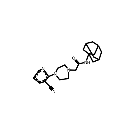 N#Cc1cccnc1N1CCN(CC(=O)NC23CC4CC(CC(C4)C2)C3)CC1